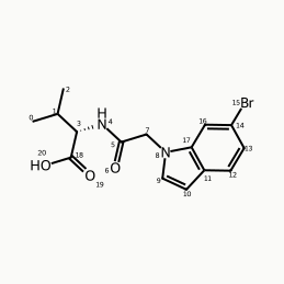 CC(C)[C@H](NC(=O)Cn1ccc2ccc(Br)cc21)C(=O)O